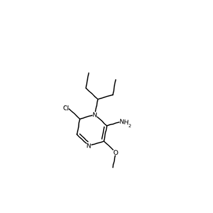 CCC(CC)N1C(N)=C(OC)N=CC1Cl